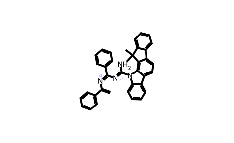 C=C(/N=C(\N=C(/N)n1c2ccccc2c2ccc3c(c21)C(C)(C)c1ccccc1-3)c1ccccc1)c1ccccc1